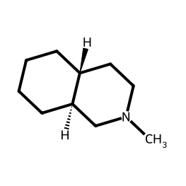 CN1CC[C@H]2CCCC[C@@H]2C1